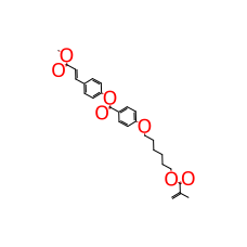 C=C(C)C(=O)OCCCCCCOc1ccc(C(=O)Oc2ccc(C=CC(=O)OC)cc2)cc1